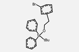 CC(C)(C)[Si](OCCc1cccc(Br)c1)(c1ccccc1)c1ccccc1